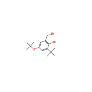 CC(C)(C)c1cc(O[Si](C)(C)C)cc(CBr)c1Br